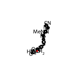 C=C(/C=C\C(=N/C)N1CCC(CN2CCC3(CC2)CN(c2nnc(-c4cnc(-c5ccc6cc(C#N)cnn56)cc4NC)s2)C3)CC1)[C@@H]1CCC(=O)NC1=O